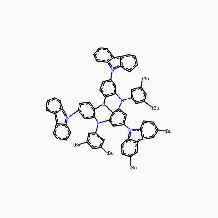 CC(C)(C)c1cc(N2c3cc(-n4c5ccccc5c5ccccc54)ccc3B3c4ccc(-n5c6ccccc6c6ccccc65)cc4N(c4cc(C(C)(C)C)cc(C(C)(C)C)c4)c4cc(-n5c6ccc(C(C)(C)C)cc6c6cc(C(C)(C)C)ccc65)cc2c43)cc(C(C)(C)C)c1